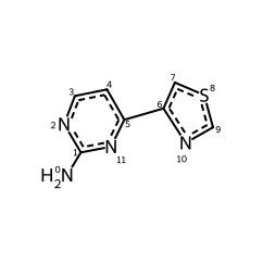 Nc1nccc(-c2cscn2)n1